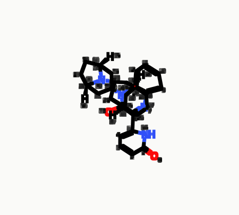 O=c1cccc(-c2nc3ccccc3n([C@H]3C[C@H]4CC[C@@H](C3)N4[C@H]3C[C@@H]4CCC[C@@H](C4)C3)c2=O)[nH]1